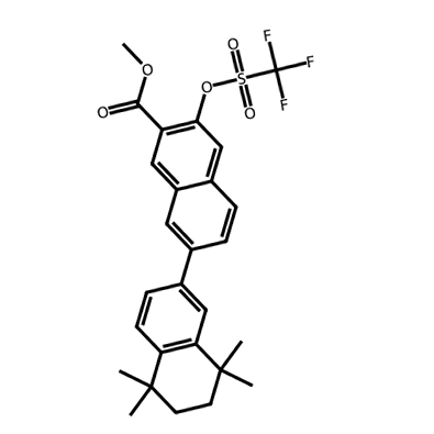 COC(=O)c1cc2cc(-c3ccc4c(c3)C(C)(C)CCC4(C)C)ccc2cc1OS(=O)(=O)C(F)(F)F